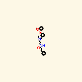 CCN(CCCNC(=O)CCc1ccccc1)Cc1cccc(Oc2ccccc2OC)c1